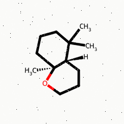 CC1(C)CCC[C@]2(C)OCCC[C@@H]12